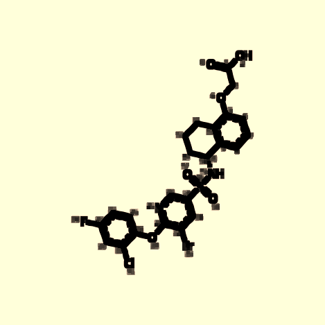 O=C(O)COc1cccc2c1CCC[C@H]2NS(=O)(=O)c1cnc(Oc2ccc(F)cc2Cl)c(Br)c1